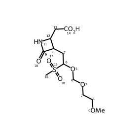 COCCOCOC(CC1C(=O)NC1CC(=O)O)S(C)(=O)=O